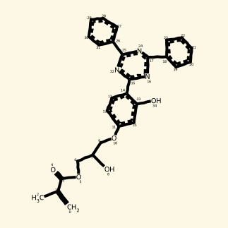 C=C(C)C(=O)OCC(O)COc1ccc(-c2nc(-c3ccccc3)nc(-c3ccccc3)n2)c(O)c1